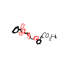 O=C(O)Cc1ccccc1OCCOCCOC(=O)C(=O)c1ccccc1